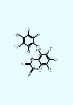 Nc1c(N)c(Cl)c(Cl)c(Cl)c1Cl.O=c1[nH]c2c(Cl)c(Cl)c(Cl)c(Cl)c2[nH]c1=O